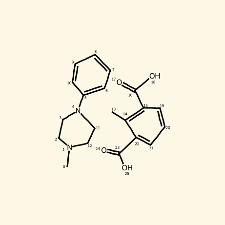 CN1CCN(c2ccccc2)CC1.Cc1c(C(=O)O)cccc1C(=O)O